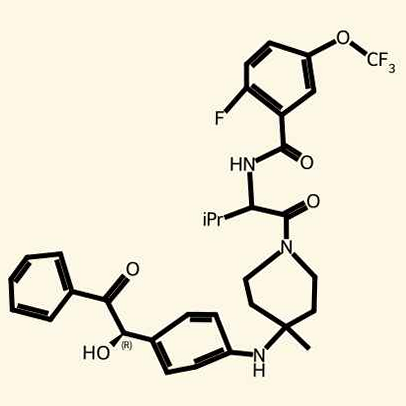 CC(C)C(NC(=O)c1cc(OC(F)(F)F)ccc1F)C(=O)N1CCC(C)(Nc2ccc([C@@H](O)C(=O)c3ccccc3)cc2)CC1